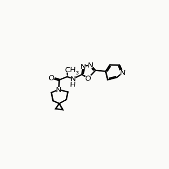 C[C@@H](Nc1nnc(-c2ccncc2)o1)C(=O)N1CCC2(CC1)CC2